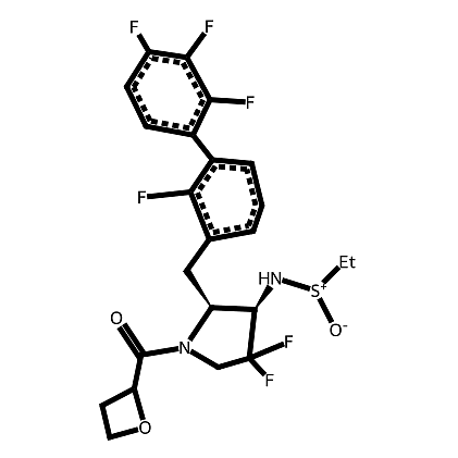 CC[S+]([O-])N[C@@H]1[C@H](Cc2cccc(-c3ccc(F)c(F)c3F)c2F)N(C(=O)C2CCO2)CC1(F)F